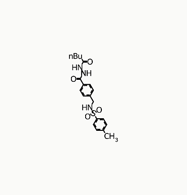 CCCCC(=O)NNC(=O)c1ccc(CNS(=O)(=O)c2ccc(C)cc2)cc1